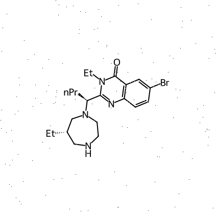 CCC[C@@H](c1nc2ccc(Br)cc2c(=O)n1CC)N1CCNC[C@H](CC)C1